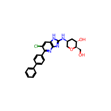 OC[C@H]1OC[C@@H](Nc2nc3nc(-c4ccc(-c5ccccc5)cc4)c(Cl)cc3[nH]2)C[C@@H]1O